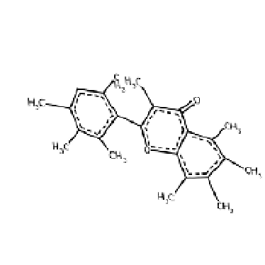 Cc1cc(C)c(-c2oc3c(C)c(C)c(C)c(C)c3c(=O)c2C)c(C)c1C